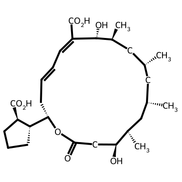 C[C@@H]1C[C@H](C)C[C@H](C)[C@@H](O)CC(=O)O[C@H]([C@@H]2CCC[C@H]2C(=O)O)C/C=C/C=C(/C(=O)O)[C@H](O)[C@@H](C)C1